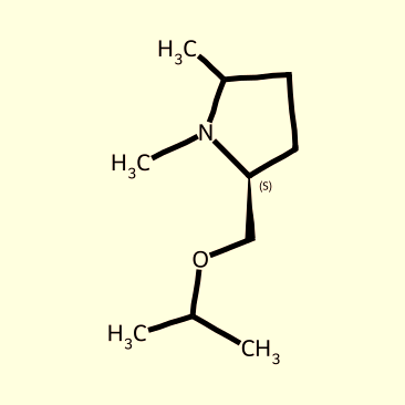 CC(C)OC[C@@H]1CCC(C)N1C